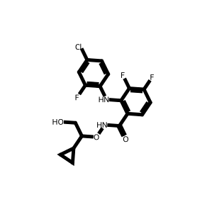 O=C(NOC(CO)C1CC1)c1ccc(F)c(F)c1Nc1ccc(Cl)cc1F